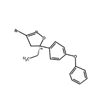 CC[C@]1(c2ccc(Oc3ccccc3)cc2)CC(Br)=NO1